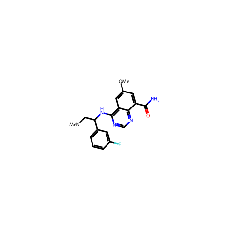 CNCC(Nc1ncnc2c(C(N)=O)cc(OC)cc12)c1cccc(F)c1